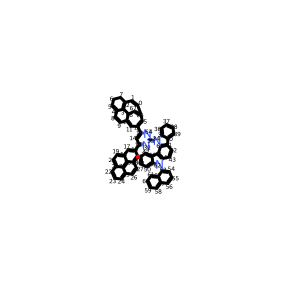 C1=CC2=C3C(=CCC2)C=CC2=CC(c4cc(-c5cc6ccc7cccc8ccc(c5)c6c78)nc(-n5c6ccccc6c6ccc7c(c8ccccc8n7-c7cccc8ccccc78)c65)n4)=CC1=CC23